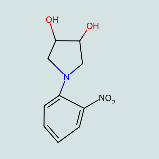 O=[N+]([O-])c1ccccc1N1CC(O)C(O)C1